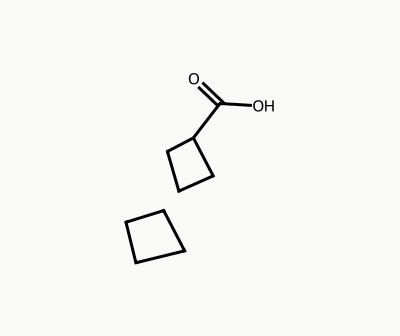 C1CCC1.O=C(O)C1CCC1